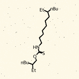 CCCCC(CC)CCCCCCCNC(=S)OCC(CC)CCCC